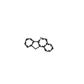 c1ccc2c(c1)Cc1c-2ncc2ccccc12